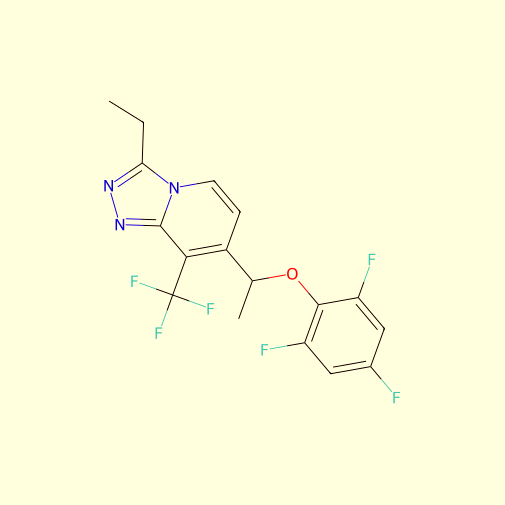 CCc1nnc2c(C(F)(F)F)c(C(C)Oc3c(F)cc(F)cc3F)ccn12